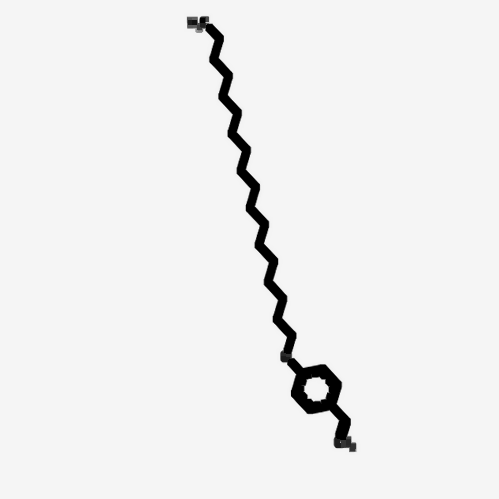 C=Cc1ccc(OCCCCCCCCCCCCCCCCCC)cc1